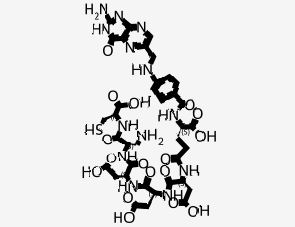 NC[C@H](NC(=O)[C@H](CC(=O)O)NC(=O)[C@H](CC(=O)O)NC(=O)[C@H](CC(=O)O)NC(=O)CC[C@H](NC(=O)c1ccc(NCc2cnc3nc(N)[nH]c(=O)c3n2)cc1)C(=O)O)C(=O)N[C@@H](CS)C(=O)O